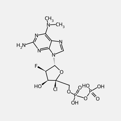 CN(C)c1nc(N)nc2c1ncn2[C@@H]1O[C@](Cl)(COP(=O)(O)OP(=O)(O)O)[C@@H](O)[C@H]1F